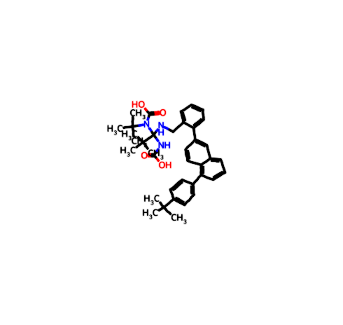 CC(C)(C)c1ccc(-c2cccc3cc(-c4ccccc4CNC(NC(=O)O)(N(C(=O)O)C(C)(C)C)C(C)(C)C)ccc23)cc1